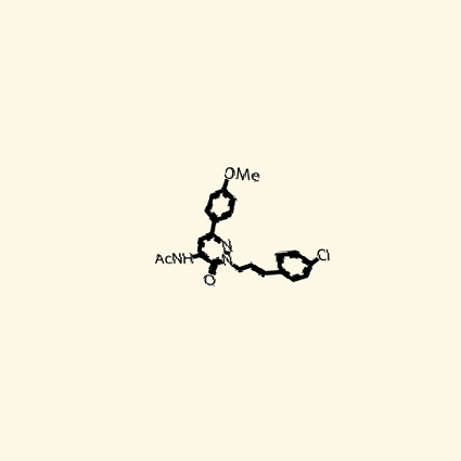 COc1ccc(-c2cc(NC(C)=O)c(=O)n(CC=Cc3ccc(Cl)cc3)n2)cc1